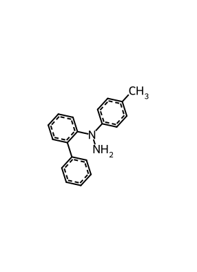 Cc1ccc(N(N)c2ccccc2-c2ccccc2)cc1